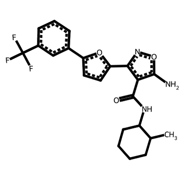 CC1CCCCC1NC(=O)c1c(-c2ccc(-c3cccc(C(F)(F)F)c3)o2)noc1N